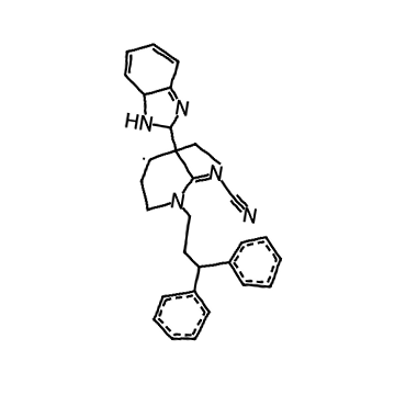 CCC1(C2N=C3C=CC=CC3N2)[CH]CCN(CCC(c2ccccc2)c2ccccc2)C1=NC#N